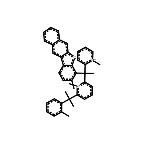 Cc1ccccc1C(C)(C)c1cccc(C(C)(c2c(C)ccc3c2oc2cc4ccccc4cc23)c2cccc[n+]2C)[n+]1C